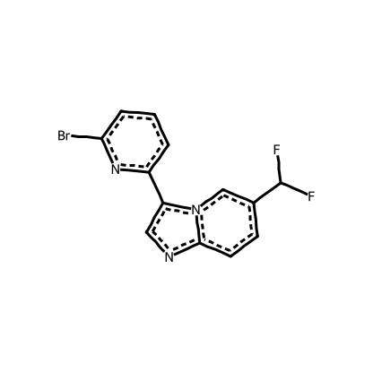 FC(F)c1ccc2ncc(-c3cccc(Br)n3)n2c1